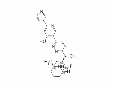 CN(c1ncc(-c2cnc(-n3ccnc3)cc2O)nn1)[C@@H]1C[C@@]2(C)CCC[C@H](N2)[C@H]1F